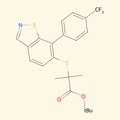 CC(C)(C)OC(=O)C(C)(C)Sc1ccc2cnsc2c1-c1ccc(C(F)(F)F)cc1